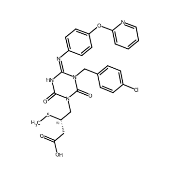 CS[C@@H](CC(=O)O)Cn1c(=O)[nH]c(=Nc2ccc(Oc3ccccn3)cc2)n(Cc2ccc(Cl)cc2)c1=O